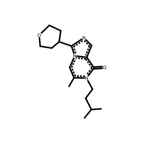 Cc1cn2c(C3CCOCC3)ncc2c(=O)n1CCC(C)C